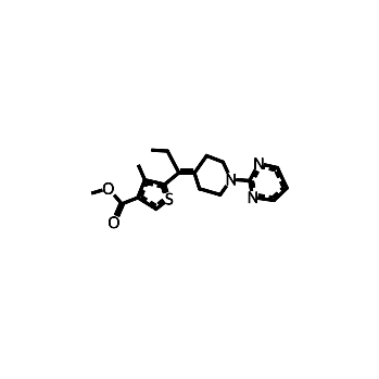 CCC(=C1CCN(c2ncccn2)CC1)c1scc(C(=O)OC)c1C